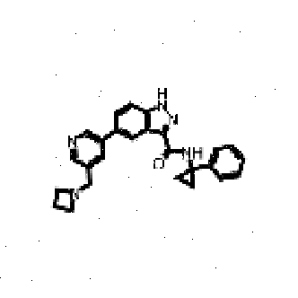 O=C(NC1(c2ccccc2)CC1)c1n[nH]c2ccc(-c3cncc(CN4CCC4)c3)cc12